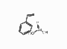 C=Cc1ccccc1.O=[Se](O)O